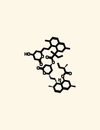 CC[C@H](C)C(=O)O[C@H]1C[C@@H](C)C=C2C=C[C@H](C)[C@H](CC[C@H]3C[C@@H](OC(=O)C(C)(CC)C4CC(C)C=C5C=CC(C)C(CCC6CC(O)CC(=O)O6)C54)CC(=O)O3)[C@H]21